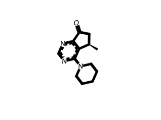 C[C@@H]1CC(=O)c2ncnc(N3CCCCC3)c21